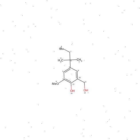 COc1cc(C(C)(C)CC(C)(C)C)cc(CO)c1O